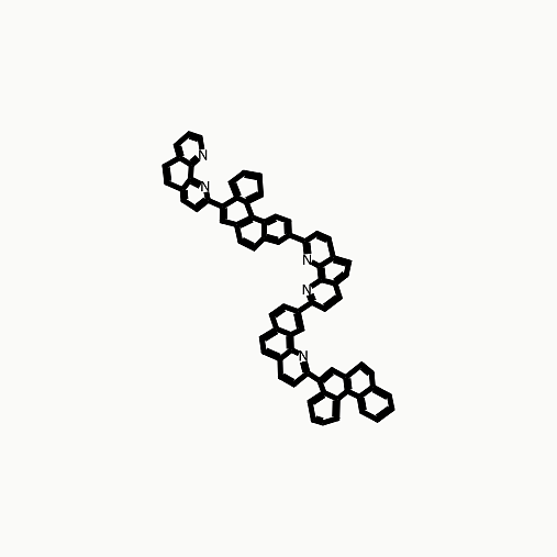 c1ccc2c(c1)ccc1cc(-c3ccc4ccc5ccc(-c6ccc7ccc8ccc(-c9ccc%10c(ccc%11cc(-c%12ccc%13ccc%14cccnc%14c%13n%12)c%12ccccc%12c%11%10)c9)nc8c7n6)cc5c4n3)c3ccccc3c12